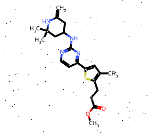 C=C1CC(Nc2nccc(-c3cc(C)c(CCC(=O)OC)s3)n2)CC(C)(C)N1